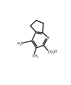 CCOC(=O)c1nc2c(c(N)c1C)CCC2